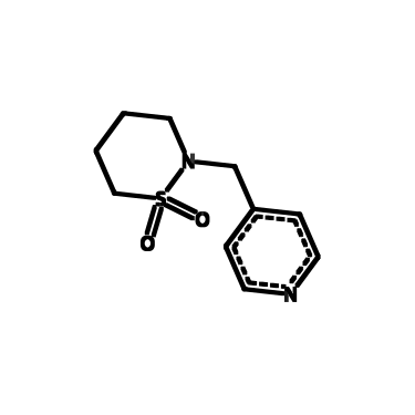 O=S1(=O)CCCCN1Cc1ccncc1